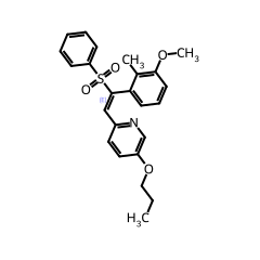 CCCOc1ccc(/C=C(\c2cccc(OC)c2C)S(=O)(=O)c2ccccc2)nc1